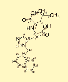 CC(C)CC(N[C@@H](Cc1cncn1Cc1cccc2ccccc12)C(=O)O)C(=O)O